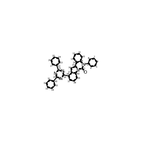 O=c1n(-c2ccccc2)c2ccccc2c2cc3c(-c4nc(-c5ccccc5)nc(-c5ccccc5)n4)cccc3n12